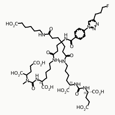 CN(C(=O)N[C@@H](CCCCNC(=O)CCC(CCC(=O)NCCCCCC(=O)O)(CCC(=O)NCCCC[C@H](NC(=O)N[C@@H](CCC(=O)O)C(=O)O)C(=O)O)NC(=O)c1ccc(-n2cc(CCCF)nn2)cc1)C(=O)O)C(CCC(=O)O)C(=O)O